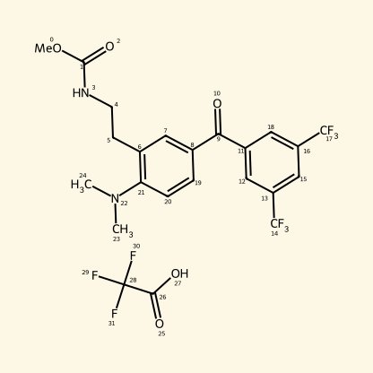 COC(=O)NCCc1cc(C(=O)c2cc(C(F)(F)F)cc(C(F)(F)F)c2)ccc1N(C)C.O=C(O)C(F)(F)F